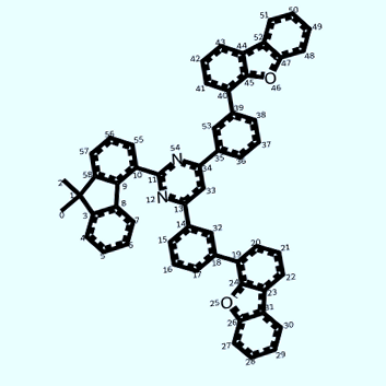 CC1(C)c2ccccc2-c2c(-c3nc(-c4cccc(-c5cccc6c5oc5ccccc56)c4)cc(-c4cccc(-c5cccc6c5oc5ccccc56)c4)n3)cccc21